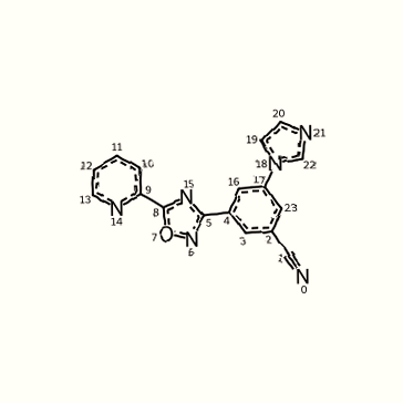 N#Cc1cc(-c2noc(-c3ccccn3)n2)cc(-n2ccnc2)c1